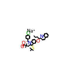 CCCC(Oc1ccc2c(c1)c(SC(C)(C)C)c(CC(C)(C)C(=O)[O-])n2Cc1ccc(Cl)cc1)c1ccc2ccccc2n1.[Na+]